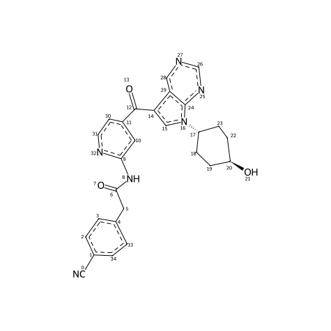 N#Cc1ccc(CC(=O)Nc2cc(C(=O)c3cn([C@H]4CC[C@H](O)CC4)c4ncncc34)ccn2)cc1